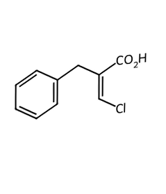 O=C(O)C(=CCl)Cc1ccccc1